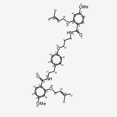 COc1ccc(C(=O)NCCCOc2ccc(CCNC(=O)c3ccc(OC)cc3OCC=C(C)C)cc2)c(OCC=C(C)C)c1